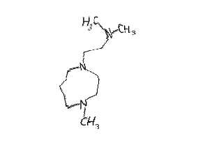 CN(C)CCN1CCCN(C)CC1